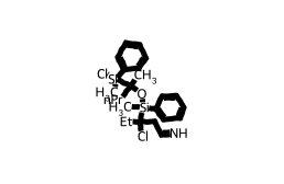 CCCC(C)(O[Si](C)(c1ccccc1)C(Cl)(CC)CC=N)[Si](C)(Cl)c1ccccc1